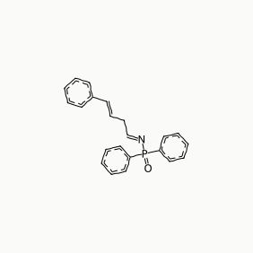 O=P(/N=C/C/C=C/c1ccccc1)(c1ccccc1)c1ccccc1